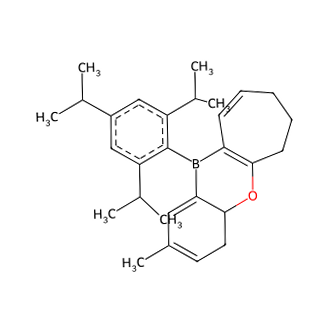 CC1=CCC2OC3=C(C=CCCC3)B(c3c(C(C)C)cc(C(C)C)cc3C(C)C)C2=C1